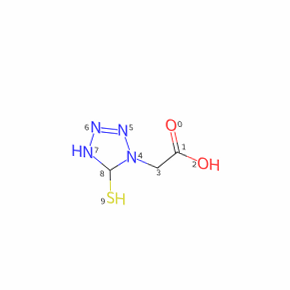 O=C(O)CN1N=NNC1S